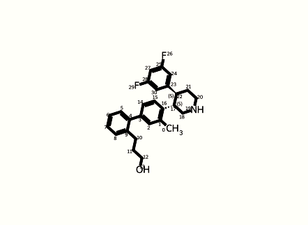 Cc1cc(-c2ccccc2CCCO)ccc1[C@H]1CNCC[C@@H]1c1cc(F)cc(F)c1